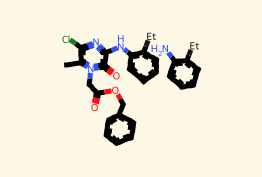 CCc1ccccc1N.CCc1ccccc1Nc1nc(Cl)c(C)n(CC(=O)OCc2ccccc2)c1=O